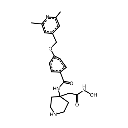 Cc1cc(COc2ccc(C(=O)NC3(CC(=O)NO)CCNCC3)cc2)cc(C)n1